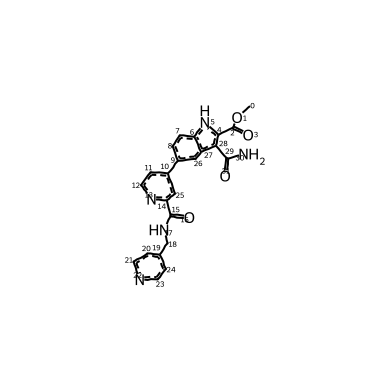 COC(=O)c1[nH]c2ccc(-c3ccnc(C(=O)NCc4ccncc4)c3)cc2c1C(N)=O